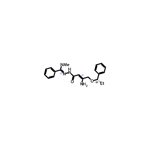 CC[C@H](OC/C(N)=C/C(=O)N/N=C(\NC)c1ccccc1)c1ccccc1